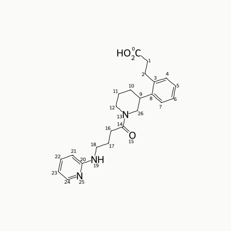 O=C(O)CCc1ccccc1C1CCCN(C(=O)CCCNc2ccccn2)C1